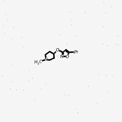 CC(C)c1cc(OC2CCN(C)CC2)no1